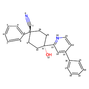 N#C[C@]1(c2ccccc2)CC[C@](O)(c2cc(-c3ccccc3)ccn2)CC1